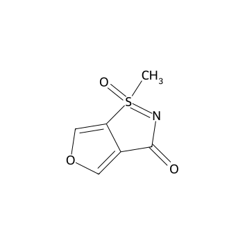 CS1(=O)=NC(=O)c2cocc21